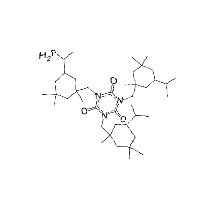 CC(C)C1CC(C)(C)CC(C)(Cn2c(=O)n(CC3(C)CC(C(C)C)CC(C)(C)C3)c(=O)n(CC3(C)CC(C(C)P)CC(C)(C)C3)c2=O)C1